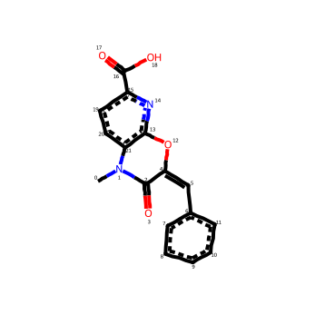 CN1C(=O)C(=Cc2ccccc2)Oc2nc(C(=O)O)ccc21